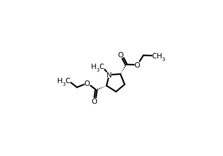 CCOC(=O)[C@H]1CC[C@@H](C(=O)OCC)N1C